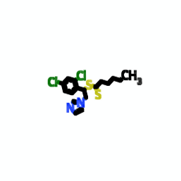 CCCCCC(=S)SC(Cn1ccnc1)c1ccc(Cl)cc1Cl